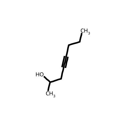 CCCC#CCC(C)O